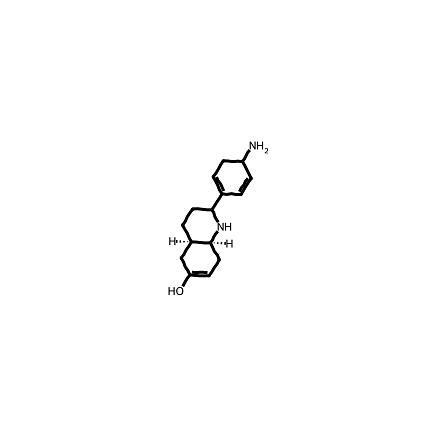 NC1C=CC(C2CC[C@@H]3CC(O)=CC[C@@H]3N2)=CC1